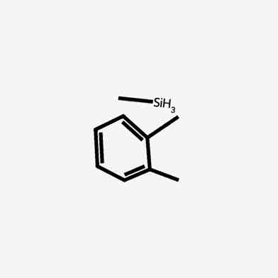 C[SiH3].Cc1ccccc1C